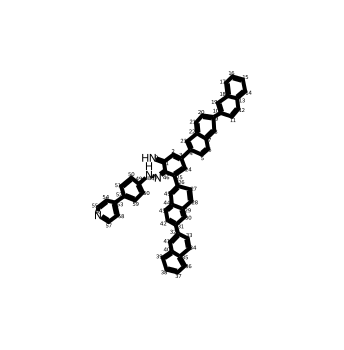 N=C1C=C(c2ccc3cc(-c4ccc5ccccc5c4)ccc3c2)C=C(c2ccc3cc(-c4ccc5ccccc5c4)ccc3c2)/C1=N/Nc1ccc(-c2ccncc2)cc1